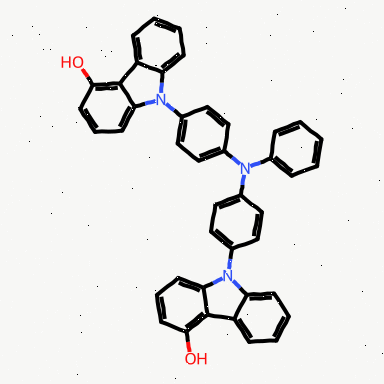 Oc1cccc2c1c1ccccc1n2-c1ccc(N(c2ccccc2)c2ccc(-n3c4ccccc4c4c(O)cccc43)cc2)cc1